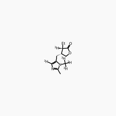 [2H]c1nc(C)n(C([2H])([2H])[2H])c1C[C@H]1COC(=O)[C@@]1([2H])CC